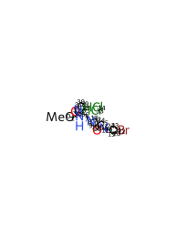 COCC(=O)NC(CCN1CCC2(CC1)CCN(Cc1ccc(Br)cc1)C2=O)c1ccccn1.Cl.Cl